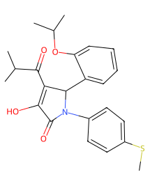 CSc1ccc(N2C(=O)C(O)=C(C(=O)C(C)C)C2c2ccccc2OC(C)C)cc1